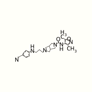 Cc1noc(C)c1NC(=O)N1CC2CN(CCCNc3ccc(C#N)cc3)CC2C1